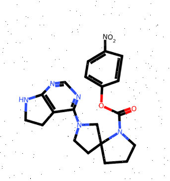 O=C(Oc1ccc([N+](=O)[O-])cc1)N1CCCC12CCN(c1ncnc3c1CCN3)C2